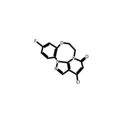 O=c1cc(Cl)c2cnn3c2n1CCOc1cc(F)ccc1-3